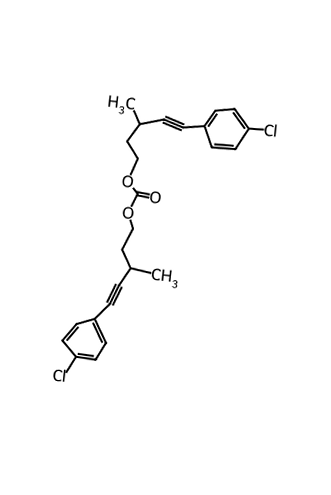 CC(C#Cc1ccc(Cl)cc1)CCOC(=O)OCCC(C)C#Cc1ccc(Cl)cc1